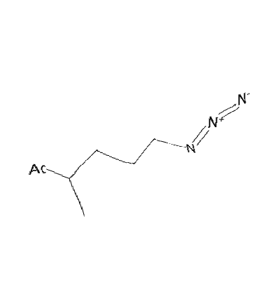 CC(=O)C(C)CCCN=[N+]=[N-]